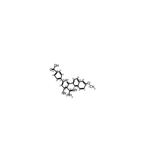 COc1ccc2cc(-c3nc(-c4ccc(C(=O)O)cc4)cc(N)c3C(=N)N)ccc2c1